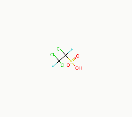 O=S(=O)(O)C(F)(Cl)C(F)(Cl)Cl